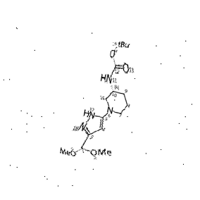 COC(OC)c1cc(N2CCC[C@@H](NC(=O)OC(C)(C)C)C2)[nH]n1